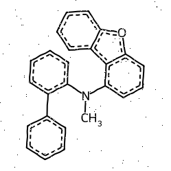 CN(c1ccccc1-c1ccccc1)c1cccc2oc3ccccc3c12